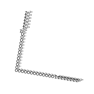 [O-2].[O-2].[O-2].[O-2].[O-2].[O-2].[O-2].[O-2].[O-2].[O-2].[O-2].[O-2].[O-2].[O-2].[O-2].[O-2].[O-2].[O-2].[O-2].[O-2].[O-2].[O-2].[O-2].[O-2].[O-2].[Zn+2].[Zn+2].[Zn+2].[Zn+2].[Zn+2].[Zn+2].[Zn+2].[Zn+2].[Zn+2].[Zn+2].[Zn+2].[Zn+2].[Zn+2].[Zn+2].[Zn+2]